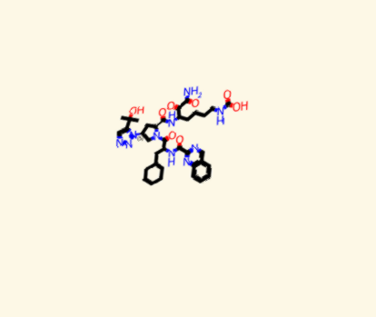 CC(C)(O)c1cnnn1[C@H]1C[C@@H](C(=O)NC(CCCCNC(=O)O)C(=O)C(N)=O)N(C(=O)C(CC2CCCCC2)NC(=O)c2ncc3ccccc3n2)C1